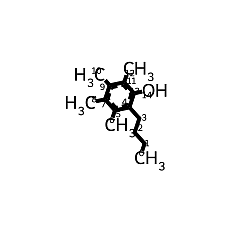 CCCCc1c(C)c(C)c(C)c(C)c1O